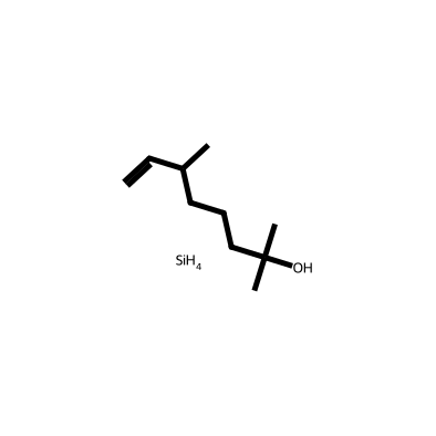 C=CC(C)CCCC(C)(C)O.[SiH4]